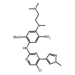 COc1cc(N(C)CCN(C)C)c([N+](=O)[O-])cc1Nc1ncc(Cl)c(-c2cnn(C)c2)n1